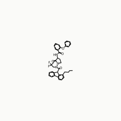 CCCCc1cccc2c1C(C(=O)N(CC(F)(F)F)N1CCC(NC(=O)c3ccccc3Oc3ccccc3)C1=O)c1ccccc1-2